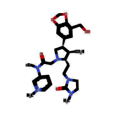 CCCCN(C(=O)CN1C[C@H](c2cc(CO)c3c(c2)OCO3)[C@@H](C(=O)O)[C@@H]1CCN1CCN(C)C1=O)c1ccc[n+](C)c1